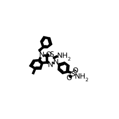 Cc1ccc2c(c1)/C(=N/N(C(N)=S)c1ccc(S(N)(=O)=O)cc1)C(=O)N2Cc1ccccc1